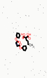 CCCCC(C(=O)O)C(=O)O.O=C(/C=C\C(=O)OC1CCCCC1)OC1CCCCC1